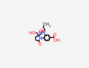 CCCNc1cc(C(=O)O)ccc1N1C(=O)CCC1(CO)CO